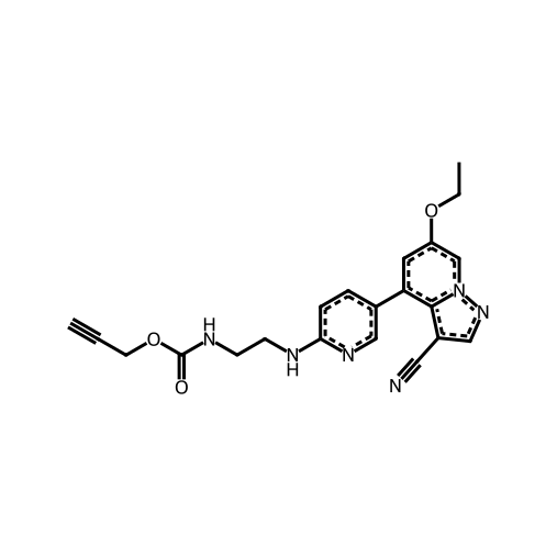 C#CCOC(=O)NCCNc1ccc(-c2cc(OCC)cn3ncc(C#N)c23)cn1